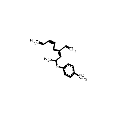 C=C/C=C\C/C(C=C)=C\C(C)Sc1ccc(C)cc1